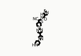 Cn1cc(C(=O)Nc2sc3c(c2C#N)CCN(c2ncc(-c4cnn(C5CCNCC5)c4)cn2)C3)cn1